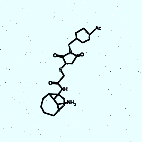 CC(=O)C1CCC(CN2C(=O)CC(SCC(=O)NC3C4CCCCC(CCC4)C3N)C2=O)CC1